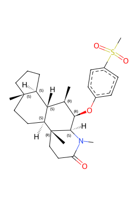 C[C@H]1[C@@H](Oc2ccc(S(C)(=O)=O)cc2)[C@H]2N(C)C(=O)CC[C@]2(C)[C@H]2CC[C@]3(C)CCC[C@H]3[C@H]12